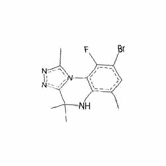 Cc1cc(Br)c(F)c2c1NC(C)(C)c1nnc(C)n1-2